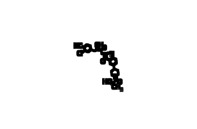 C[C@@H](O)C(=O)N1CCC(c2ccc3ncn(CC(=O)N(C)Cc4ccc(C#N)c(Cl)c4)c(=O)c3c2)CC1